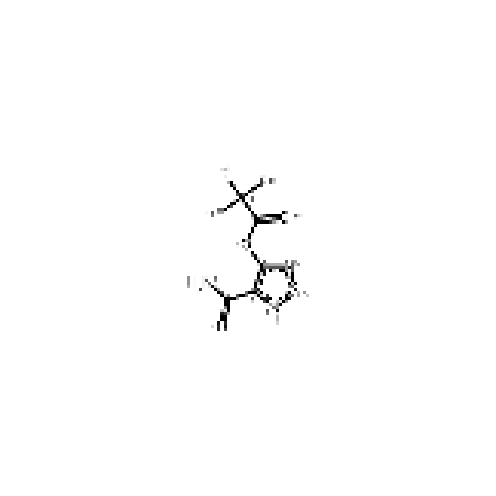 NC(=O)c1[nH]nnc1OC(=O)C(F)(F)F